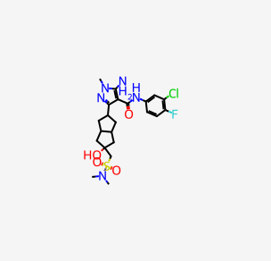 CN(C)S(=O)(=O)CC1(O)CC2CC(c3nn(C)c(N)c3C(=O)Nc3ccc(F)c(Cl)c3)CC2C1